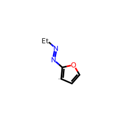 CCN=Nc1[c]cco1